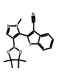 Cn1ncc(B2OC(C)(C)C(C)(C)O2)c1-c1sc2ccccc2c1C#N